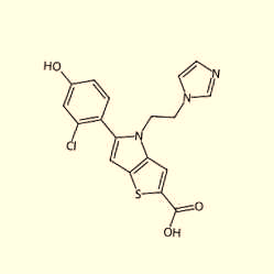 O=C(O)c1cc2c(cc(-c3ccc(O)cc3Cl)n2CCn2ccnc2)s1